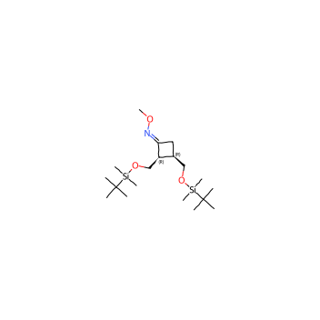 CON=C1C[C@@H](CO[Si](C)(C)C(C)(C)C)[C@H]1CO[Si](C)(C)C(C)(C)C